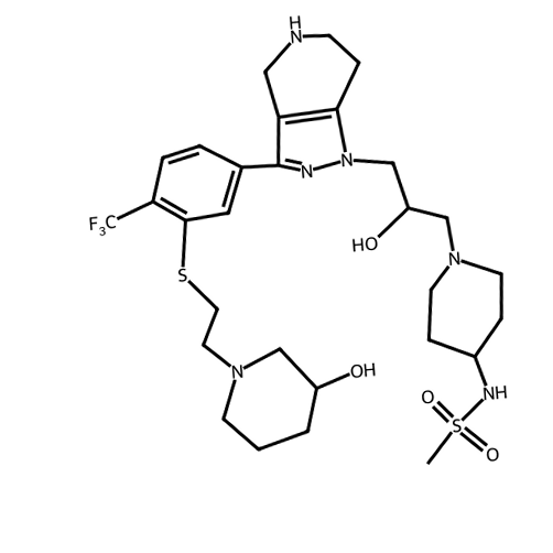 CS(=O)(=O)NC1CCN(CC(O)Cn2nc(-c3ccc(C(F)(F)F)c(SCCN4CCCC(O)C4)c3)c3c2CCNC3)CC1